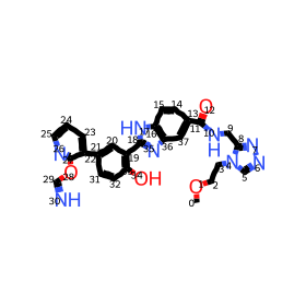 COCCn1cnnc1CNC(=O)c1ccc2[nH]c(-c3cc(-c4cccnc4OC=N)ccc3O)nc2c1